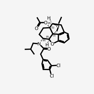 CC(=O)O[C@@]12CC[C@@H](N(CC(C)C)C(=O)Cc3ccc(Cl)c(Cl)c3)[C@@H]3Oc4cccc5c4[C@@]31CCN(C)[C@@H]2C5